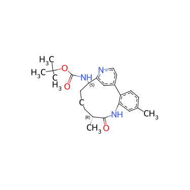 Cc1ccc2c(c1)NC(=O)[C@H](C)CCC[C@H](NC(=O)OC(C)(C)C)c1cc-2ccn1